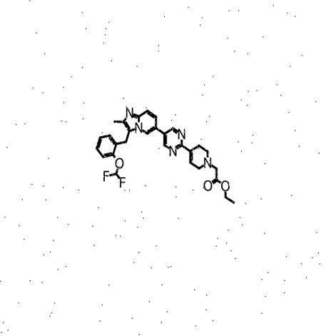 CCOC(=O)CN1CC=C(c2ncc(-c3ccc4nc(C)c(Cc5ccccc5OC(F)F)n4c3)cn2)CC1